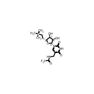 C=P(C)(C)CC[C@H]1O[C@@H](n2cc(CNC(=O)C(F)(F)F)c(=O)[nH]c2=O)[C@H](O)[C@@H]1O